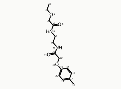 CCOCC(=O)NCCNC(=O)COc1ccc(C)cc1